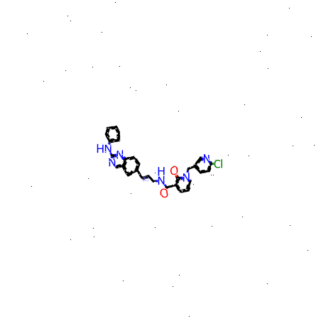 O=C(NC/C=C/c1ccc2nc(Nc3ccccc3)ncc2c1)c1cccn(Cc2ccc(Cl)nc2)c1=O